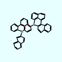 c1ccc(-c2ccccc2N(c2ccc(N3c4ccc5ccccc5c4-c4cccc5cccc3c45)cc2)c2ccc3ccccc3c2)cc1